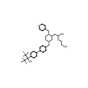 OCCOC(O)CC1CN(Cc2ccc(-c3ccc(C(O)(C(F)(F)F)C(F)(F)F)cc3)cc2)CCN1Cc1ccncc1